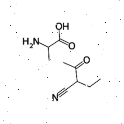 CC(N)C(=O)O.CCC(C#N)C(C)=O